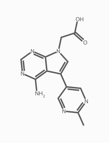 Cc1ncc(-c2cn(CC(=O)O)c3ncnc(N)c23)cn1